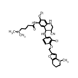 CCOc1cc2c(cc1NC(=O)CCCN(C)C)C(Nc1ccc(OCc3cc4c(o3)CCCN4C)c(Cl)c1)C(C#N)CN2